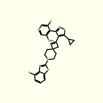 COc1cncc(F)c1-c1noc(C2CC2)c1C1=CC2(CCN(c3nc4c(F)cccc4s3)CC2)C1